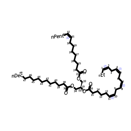 CC/C=C\C/C=C\C/C=C\C/C=C\CCCCC(=O)O[C@H](COC(=O)CCCCCCC/C=C\CCCCC)COC(=O)CCCCCCCCCCCCCCCCCCCC